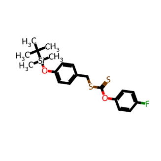 CC(C)(C)[Si](C)(C)Oc1ccc(CSC(=S)Oc2ccc(F)cc2)cc1